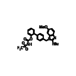 CCCCc1nc2ccc(OC)cc2n1Cc1ccc(-c2ccccc2OC(=O)NS(=O)(=O)C(F)(F)F)cc1